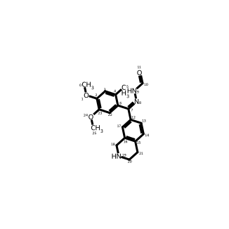 COc1cc(C)c(/C(=N\NC=O)c2ccc3c(c2)CNCC3)cc1OC